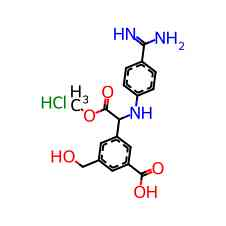 COC(=O)C(Nc1ccc(C(=N)N)cc1)c1cc(CO)cc(C(=O)O)c1.Cl